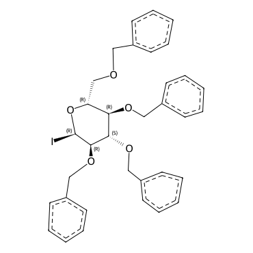 I[C@H]1O[C@H](COCc2ccccc2)[C@@H](OCc2ccccc2)[C@H](OCc2ccccc2)[C@H]1OCc1ccccc1